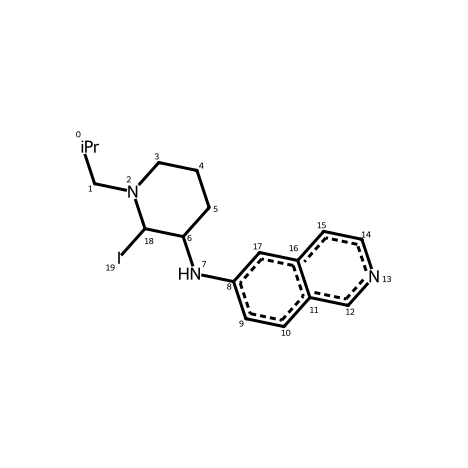 CC(C)CN1CCCC(Nc2ccc3cnccc3c2)C1I